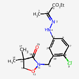 CCOC(=O)C(C)=NNc1ccc(Cl)c(CN2OCC(C)(C)C2=O)c1